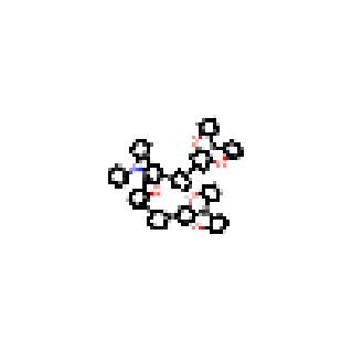 c1ccc(-n2c3ccccc3c3cc(-c4cccc(-c5cc6c7c(c5)Oc5ccccc5B7c5ccccc5O6)c4)c4oc5c(-c6cccc(-c7cc8c9c(c7)Oc7ccccc7B9c7ccccc7O8)c6)cccc5c4c32)cc1